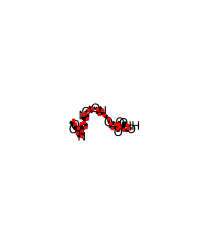 CC(C)(C)OC(=O)n1c2ccncc2c2ccc(-c3ccc(OC4CC(Oc5ccc(C#CCOc6ccc7c(c6)C(=O)N(C6CCC(=O)NC6=O)C7=O)nc5)C4)nc3)cc21